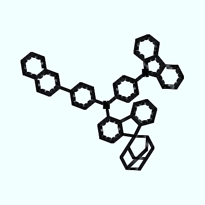 c1ccc2c(c1)-c1c(N(c3ccc(-c4ccc5ccccc5c4)cc3)c3ccc(-n4c5ccccc5c5ccccc54)cc3)cccc1C21C2CC3CC(C2)CC1C3